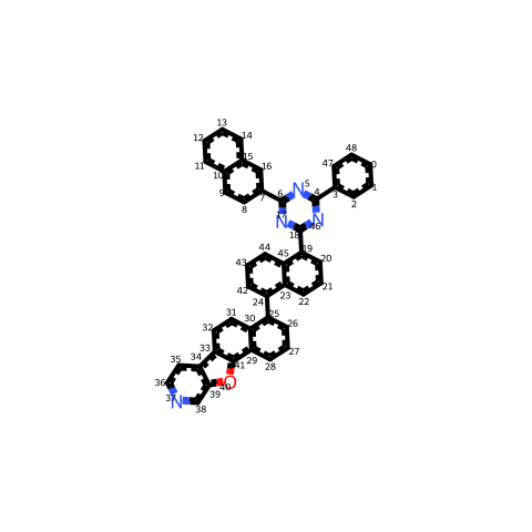 c1ccc(-c2nc(-c3ccc4ccccc4c3)nc(-c3cccc4c(-c5cccc6c5ccc5c7ccncc7oc65)cccc34)n2)cc1